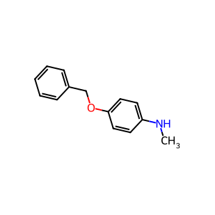 CNc1ccc(OCc2ccccc2)cc1